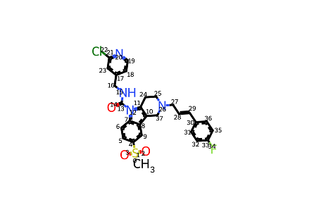 CS(=O)(=O)c1ccc2c(c1)c1c(n2C(=O)NCc2ccnc(Cl)c2)CCN(CC=Cc2ccc(F)cc2)C1